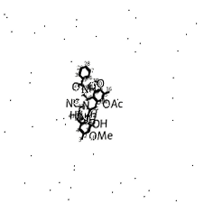 COc1c(C)cc2c(c1O)[C@H]1[C@@H]3Cc4c(OC(C)=O)c(C)c5c(c4[C@H](CNC(=O)c4ccccc4)N3[C@@H](C#N)[C@H](C2)N1C)OCO5